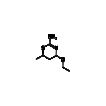 CCOC1CC(C)SC(N)=N1